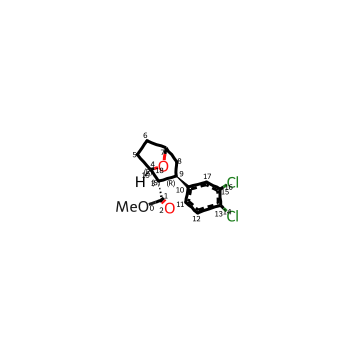 COC(=O)[C@@H]1[C@H]2CCC(C[C@H]1c1ccc(Cl)c(Cl)c1)O2